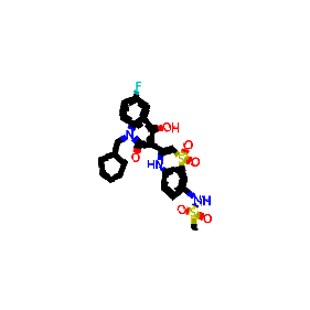 CS(=O)(=O)Nc1ccc2c(c1)S(=O)(=O)C=C(c1c(O)c3cc(F)ccc3n(CC3CCCCC3)c1=O)N2